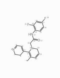 CC1=C(C2=CC=NCC2)N(CC(=O)Nc2ccc(F)cc2F)CC=C1